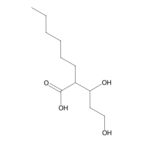 CCCCCCC(C(=O)O)C(O)CCO